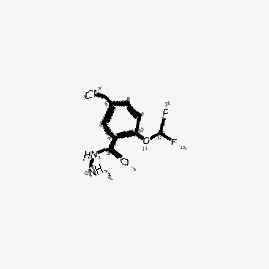 NNC(=O)c1cc(Cl)ccc1OC(F)F